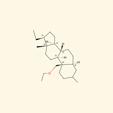 CCOC[C@]12CCC(C)C[C@@H]1CC[C@H]1[C@@H]3CC[C@H](CC)[C@@]3(C)CC[C@@H]12